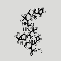 CCN(C[C@@H](NC(=O)N[C@H](C(=O)N1C[C@H]2[C@@H]([C@H]1C(=O)NC(CC1CCC1)C(=O)C(N)=O)C2(C)C)C(C)(C)C)C(C)(C)C)S(=O)(=O)c1cccs1